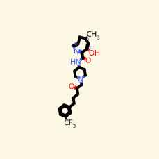 C[C@H]1\C=C(O)/C(C(=O)NC2CCN(CC(=O)CCCc3cccc(C(F)(F)F)c3)CC2)=N\C=C\C1